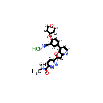 CN(C)C(=O)c1ccc(-c2cc3nccc(-c4ccc(OC5CCOCC5)c(C#N)c4)c3o2)nn1.Cl